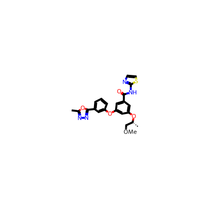 COC[C@@H](C)Oc1cc(Oc2cccc(-c3nnc(C)o3)c2)cc(C(=O)Nc2nccs2)c1